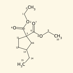 CCOC(=O)C1(C(=O)OCC)CCC(CC)C1